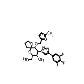 OC[C@H]1OC2(CCCO2)[C@H](OCc2ccc(C(F)(F)F)o2)[C@@H](n2cc(-c3cc(F)c(F)c(F)c3)nn2)[C@H]1O